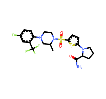 CC1CN(c2ccc(F)cc2C(F)(F)F)CCN1S(=O)(=O)c1ccc(N2CCCC2C(N)=O)s1